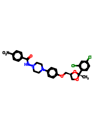 C[C@]1(c2ccc(Cl)cc2Cl)OC[C@@H](COc2ccc(N3CCN(NC(=O)c4ccc([N+](=O)[O-])cc4)CC3)cc2)O1